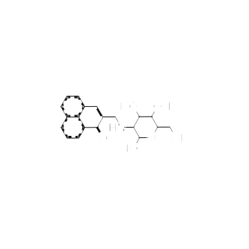 O=C1C(CNC2C(O)OC(CO)C(O)C2O)=Cc2cccc3cccc1c23